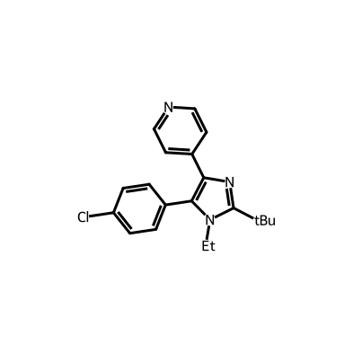 CCn1c(C(C)(C)C)nc(-c2ccncc2)c1-c1ccc(Cl)cc1